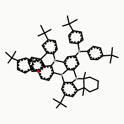 CC(C)(C)c1ccc(N(c2ccc(C(C)(C)C)cc2)c2cc3c4c(c2)N2c5c(cc(C(C)(C)C)cc5C5(C)CCCCC25C)B4c2ccc4c(oc5cc(C(C)(C)C)ccc54)c2N3c2ccc(C(C)(C)C)cc2-c2ccccc2)cc1